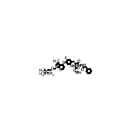 Cc1cn(COCCS(C)(C)C)c2nccc(Oc3ccc(C[C@H](NC(=O)OC(C)(C)C)C(=O)NNC(=O)Cc4ccccc4)cc3F)c12